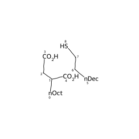 CCCCCCCCC(CC(=O)O)C(=O)O.CCCCCCCCCCCCS